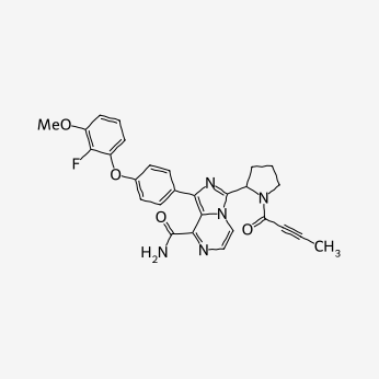 CC#CC(=O)N1CCCC1c1nc(-c2ccc(Oc3cccc(OC)c3F)cc2)c2c(C(N)=O)nccn12